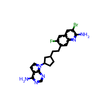 Nc1nc2cc(CCC3CCC(n4ccc5c(N)ncnc54)C3)c(F)cc2cc1Br